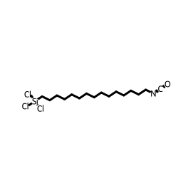 O=C=NCCCCCCCCCCCCCCC[Si](Cl)(Cl)Cl